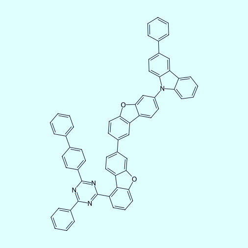 c1ccc(-c2ccc(-c3nc(-c4ccccc4)nc(-c4cccc5oc6cc(-c7ccc8oc9cc(-n%10c%11ccccc%11c%11cc(-c%12ccccc%12)ccc%11%10)ccc9c8c7)ccc6c45)n3)cc2)cc1